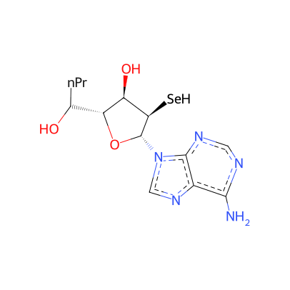 CCCC(O)[C@H]1O[C@@H](n2cnc3c(N)ncnc32)[C@H]([SeH])[C@@H]1O